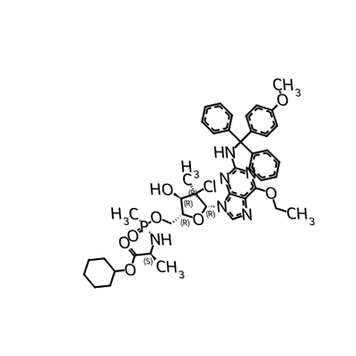 CCOc1nc(NC(c2ccccc2)(c2ccccc2)c2ccc(OC)cc2)nc2c1ncn2[C@@H]1O[C@H](COP(C)(=O)N[C@@H](C)C(=O)OC2CCCCC2)[C@@H](O)[C@@]1(C)Cl